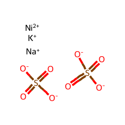 O=S(=O)([O-])[O-].O=S(=O)([O-])[O-].[K+].[Na+].[Ni+2]